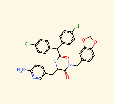 Nc1ccc(CC(NC(=O)C(c2ccc(Cl)cc2)c2ccc(Cl)cc2)C(=O)NCc2ccc3c(c2)OCO3)cn1